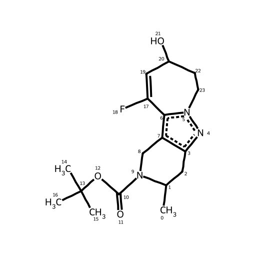 CC1Cc2nn3c(c2CN1C(=O)OC(C)(C)C)C(F)=CC(O)CC3